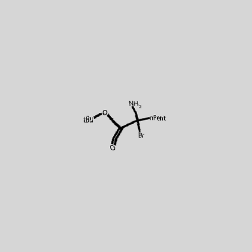 CCCCCC(N)(Br)C(=O)OC(C)(C)C